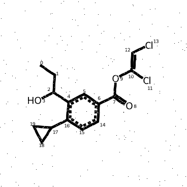 CCC(O)c1cc(C(=O)OC(Cl)=CCl)ccc1C1CC1